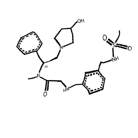 CN(C(=O)CNc1cccc(CNS(C)(=O)=O)c1)[C@H](CN1CCC(O)C1)c1ccccc1